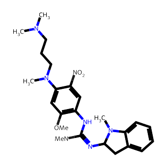 CNC(=NC1Cc2ccccc2N1C)Nc1cc([N+](=O)[O-])c(N(C)CCCN(C)C)cc1OC